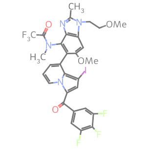 COCCn1c(C)nc2c(N(C)C(=O)C(F)(F)F)c(-c3cccn4c(C(=O)c5cc(F)c(F)c(F)c5)cc(I)c34)c(OC)cc21